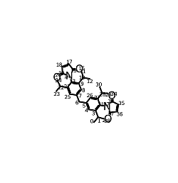 CC(C)c1cc(Cc2cc(C(C)C)c(N3C(=O)C=CC3=O)c(C(C)C)c2)cc(C(C)C)c1N1C(=O)C=CC1=O